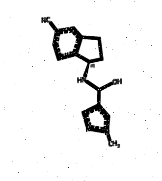 Cn1cc(C(O)N[C@@H]2CCc3cc(C#N)ccc32)cn1